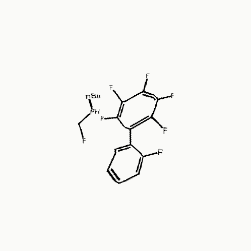 CCCCPCF.Fc1ccccc1-c1c(F)c(F)c(F)c(F)c1F